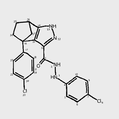 O=C(NNc1ccc(Cl)cc1)c1n[nH]c2c1C1(c3ccc(Cl)cc3)CCC2C1